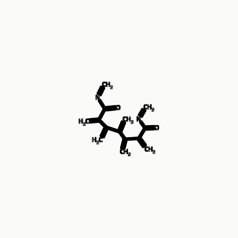 C=NC(=O)C(=C)C(=C)C(=C)C(=C)C(=C)C(=O)N=C